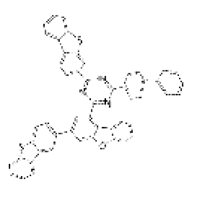 c1ccc(-c2ccc(-c3nc(-c4ccc5c(c4)sc4ccccc45)nc(-c4cc(-c5ccc6sc7ccccc7c6c5)cc5oc6ccccc6c45)n3)cc2)cc1